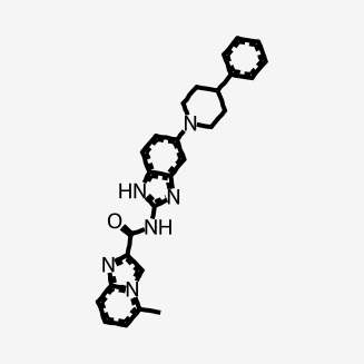 Cc1cccc2nc(C(=O)Nc3nc4cc(N5CCC(c6ccccc6)CC5)ccc4[nH]3)cn12